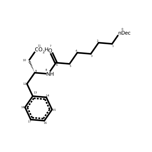 CCCCCCCCCCCCCCCC(=O)N[C@@H](CC(=O)O)Cc1ccccc1